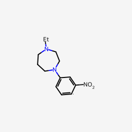 CCN1CCCN(c2cc[c]c([N+](=O)[O-])c2)CC1